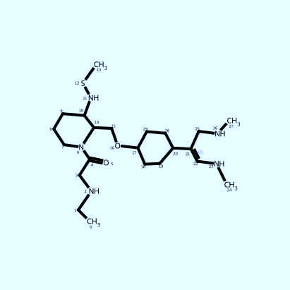 CCNCC(=O)N1CCCC(NSC)C1COC1CCC(/C(=C/NC)CNC)CC1